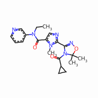 CCN(C(=O)c1cnc(C2=NOC(C)(C)N2C(=O)C2CC2)n1C)c1cccnc1